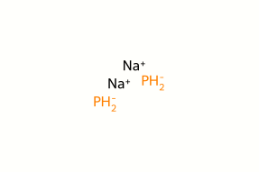 [Na+].[Na+].[PH2-].[PH2-]